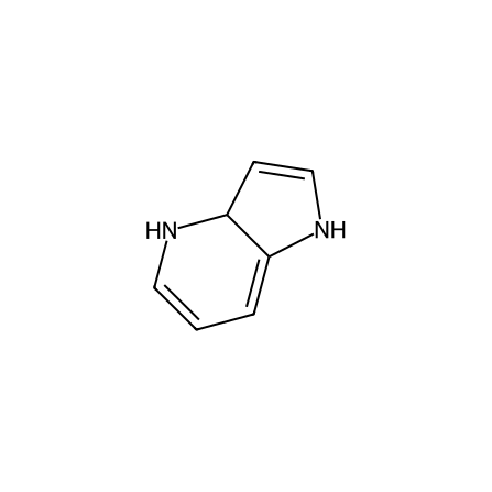 C1=CNC2C=CNC2=C1